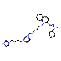 CN(/N=C/c1ccc2ccccc2[n+]1CCCCCCn1cc[n+](CCCCn2ccnc2)c1)c1ccccc1